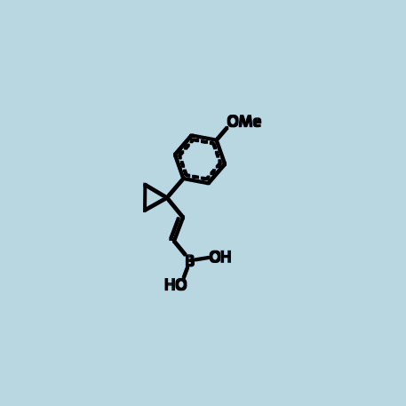 COc1ccc(C2(C=CB(O)O)CC2)cc1